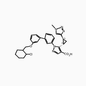 Cn1cc([C@H]2C[C@@H]2c2c(C(=O)O)cnn2-c2cccc(-c3cccc(OCC4CCCCC4Cl)c3)c2)nn1